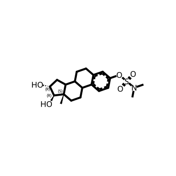 CN(C)S(=O)(=O)Oc1ccc2c(c1)CCC1C2CC[C@@]2(C)C1C[C@@H](O)[C@@H]2O